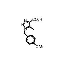 COc1ccc(Cn2nnc(C(=O)O)c2C)cc1